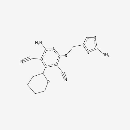 N#Cc1c(N)nc(SCc2csc(N)n2)c(C#N)c1C1CCCCO1